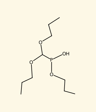 CCCOC(OCCC)P(O)OCCC